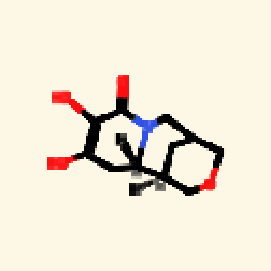 O=C1C(O)=C(O)C[C@H]2[C@@H]3COCC(C3)CN12